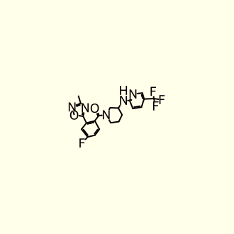 Cc1noc(-c2cc(F)ccc2C(=O)N2CCCC(Nc3ccc(C(F)(F)F)cn3)C2)n1